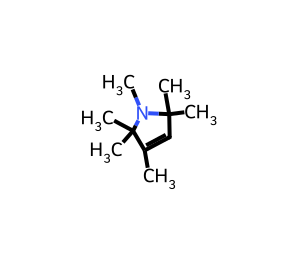 CC1=CC(C)(C)N(C)C1(C)C